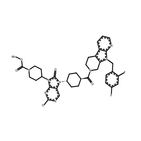 CC(C)(C)OC(=O)N1CCC(n2c(=O)n([C@H]3CC[C@H](C(=O)N4CCc5c(n(Cc6ccc(F)cc6F)c6ncccc56)C4)CC3)c3cnc(Cl)nc32)CC1